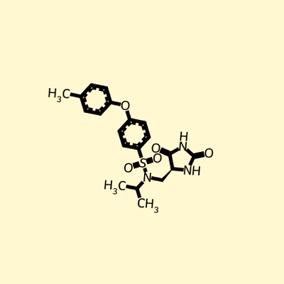 Cc1ccc(Oc2ccc(S(=O)(=O)N(C[C@@H]3NC(=O)NC3=O)C(C)C)cc2)cc1